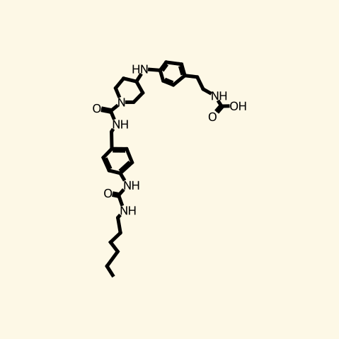 CCCCCCNC(=O)Nc1ccc(CNC(=O)N2CCC(Nc3ccc(CCNC(=O)O)cc3)CC2)cc1